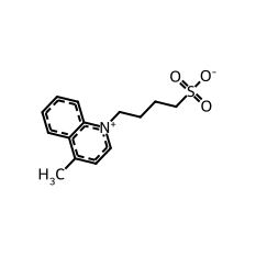 Cc1cc[n+](CCCCS(=O)(=O)[O-])c2ccccc12